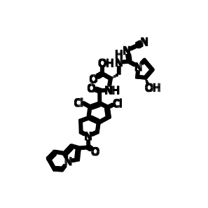 N#C/N=C(/NC[C@H](NC(=O)c1c(Cl)cc2c(c1Cl)CCN(C(=O)c1cc3ccccn3c1)C2)C(=O)O)N1CC[C@H](O)C1